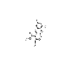 CCOC(=O)C(C(=O)OCC)C(=O)C(C)Oc1cc(Cl)c(Cl)cc1Cl